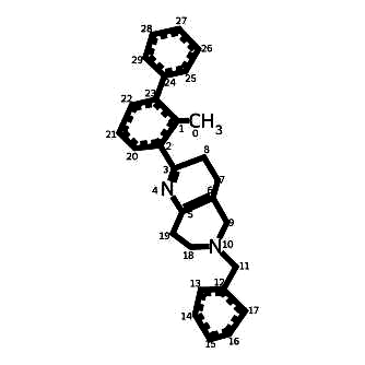 Cc1c(C2=NC3=C(CC2)CN(Cc2ccccc2)CC3)cccc1-c1ccccc1